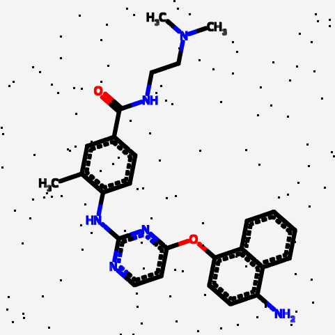 Cc1cc(C(=O)NCCN(C)C)ccc1Nc1nccc(Oc2ccc(N)c3ccccc23)n1